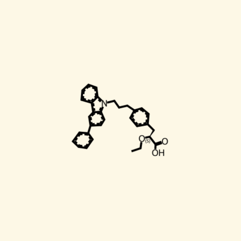 CCO[C@@H](Cc1ccc(CCCn2c3ccccc3c3cc(-c4ccccc4)ccc32)cc1)C(=O)O